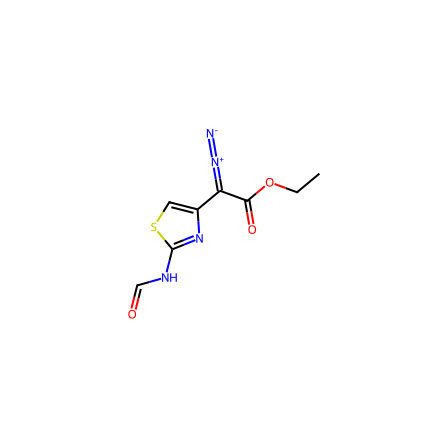 CCOC(=O)C(=[N+]=[N-])c1csc(NC=O)n1